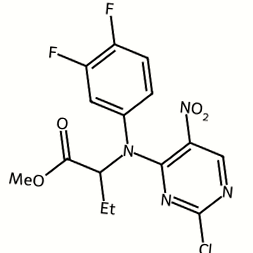 CCC(C(=O)OC)N(c1ccc(F)c(F)c1)c1nc(Cl)ncc1[N+](=O)[O-]